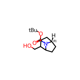 CC(C)(C)OC(=O)N1C2CC[C@H]1CCC2CO